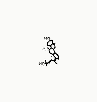 CC(CCC(C)(C)O)C1CCC2C3CC=C4C[C@@H](O)CC[C@]4(N)C3CC[C@]12C